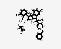 CC(C)(CC1NC(C(=O)O)C(c2cccc(Cl)c2F)C1(C#N)c1ccc(Cl)cc1F)C1=CCN(Cc2ccccc2)CC1.O=C(O)C(F)(F)F